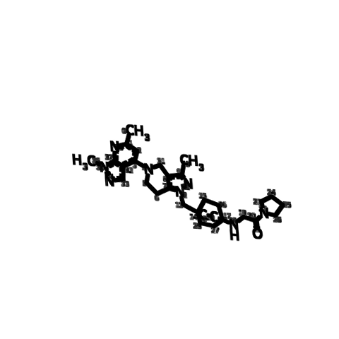 Cc1cc(N2CCc3c(c(C)nn3CC34CCC(NCC(=O)N5CCCC5)(CC3)CC4)C2)c2cnn(C)c2n1